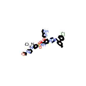 CN(c1ccc(S(=O)(=O)NC(=O)c2ccc(N3CCN(CC4=C(c5ccc(Cl)cc5)CC(C)(C)CC4)CC3)cc2Oc2cnc3[nH]ccc3c2)cc1[N+](=O)[O-])[C@@H]1CCN(C2COC2)C1